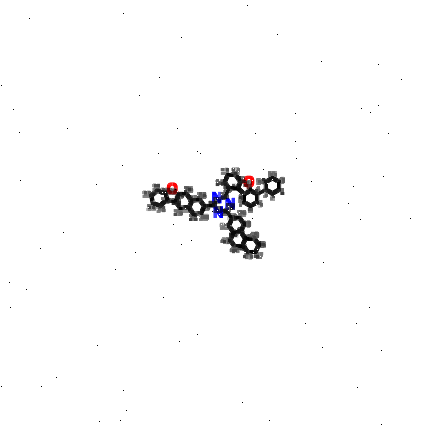 c1ccc(-c2cccc3c2oc2cccc(-c4nc(-c5ccc6cc7c(cc6c5)oc5ccccc57)nc(-c5ccc6c(ccc7ccccc76)c5)n4)c23)cc1